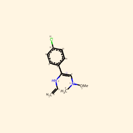 C=CN/C(=C\N(C)OC)c1ccc(Cl)cc1